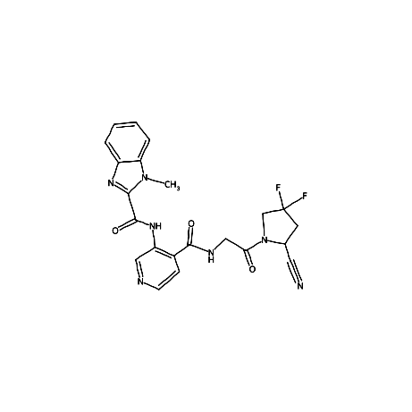 Cn1c(C(=O)Nc2cnccc2C(=O)NCC(=O)N2CC(F)(F)CC2C#N)nc2ccccc21